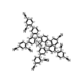 N#Cc1cccc(-c2ccc(-n3c4ccc(-c5ccc(C#N)cc5C#N)cc4c4cc(-c5ccc(C#N)cc5C#N)ccc43)c(C(F)(F)F)c2-n2c3ccc(-c4ccc(C#N)cc4C#N)cc3c3cc(-c4ccc(C#N)cc4C#N)ccc32)c1